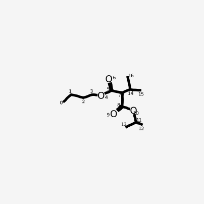 CCCCOC(=O)C(C(=O)OC(C)C)C(C)C